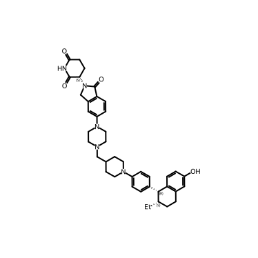 CC[C@H]1CCc2cc(O)ccc2[C@H]1c1ccc(N2CCC(CN3CCN(c4ccc5c(c4)CN([C@H]4CCC(=O)NC4=O)C5=O)CC3)CC2)cc1